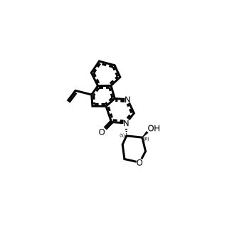 C=Cc1cc2c(=O)n([C@H]3CCOC[C@@H]3O)cnc2c2ccccc12